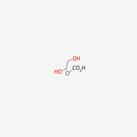 O=C(O)Cl.OCCO